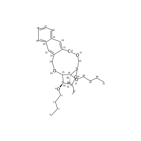 CCCCO[C@@H]1C(F)OC2COCc3cc4ccccc4cc3COC1[C@@H]2OCCCC